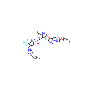 CCN1CCN(Cc2ccc(NC(=O)N3Cc4cc(Oc5c(F)cnc6[nH]c(CCOC)cc56)cnc4C(C)C3)cc2C(F)(F)F)CC1